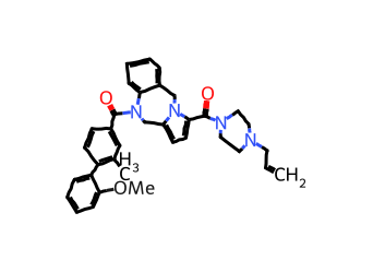 C=CCN1CCN(C(=O)c2ccc3n2Cc2ccccc2N(C(=O)c2ccc(-c4ccccc4OC)c(C)c2)C3)CC1